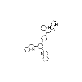 c1ccc2nc(-c3cc(-c4ccc(-c5cc6nc7ncccc7n6c6ccccc56)cc4)cc(-c4ccc5ccccc5n4)c3)ccc2c1